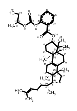 CC(C)=CCC[C@@H](C)[C@H]1CC[C@@]2(C)C3=C(CC[C@]12C)[C@@]1(C)CC[C@H](OC(=O)c2ccccc2OC(=O)O[C@@H](C)CO)C(C)(C)[C@@H]1CC3